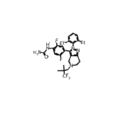 CCc1cccc(CC)c1-n1nc2c(c1-c1cc(F)c(NC(N)=O)cc1F)CN(CC(C)(C)C(F)(F)F)CC2